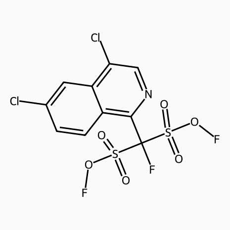 O=S(=O)(OF)C(F)(c1ncc(Cl)c2cc(Cl)ccc12)S(=O)(=O)OF